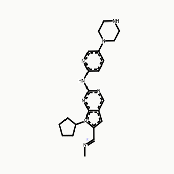 C/N=C/c1cc2cnc(Nc3ccc(N4CCNCC4)cn3)nc2n1C1CCCC1